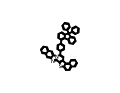 c1ccc(C2(c3ccccc3)c3ccccc3-c3c(-c4ccc(-c5cc6c(sc7ccc8ccccc8c76)c6nc7cc8ccccc8cc7n56)cc4)cccc32)cc1